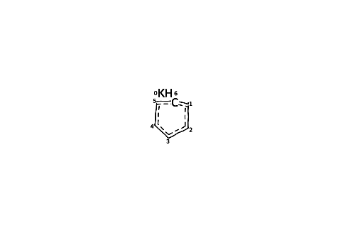 [KH].[c]1ccccc1